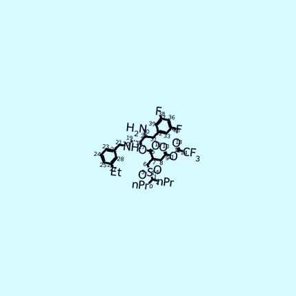 CCCC(CCC)S(=O)(=O)CC(CC(=O)OC(=O)C(F)(F)F)C(=O)O[C@H](CNCc1cccc(CC)c1)[C@@H](N)Cc1cc(F)cc(F)c1